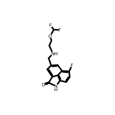 O=C1Nc2ccc(F)c3cc(CNCCOC(F)F)cc1c23